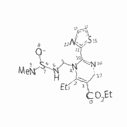 CCOC(=O)C1=C(CC)N(CN[S+]([O-])NC)C(c2nccs2)=NC1